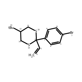 C=CC1(c2ccc(Br)cc2)SCC(C(C)(C)C)CS1